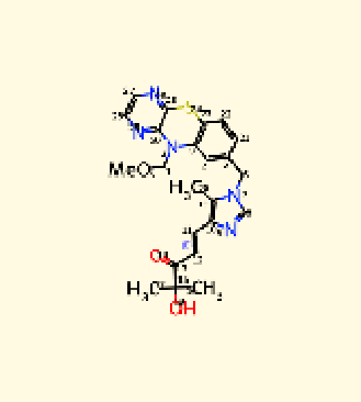 COCN1c2cc(Cn3cnc(/C=C/C(=O)C(C)(C)O)c3C)ccc2Sc2nccnc21